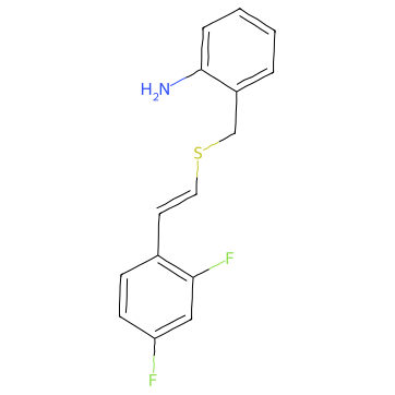 Nc1ccccc1CSC=Cc1ccc(F)cc1F